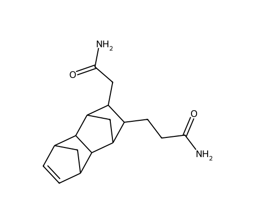 NC(=O)CCC1C(CC(N)=O)C2CC1C1C3C=CC(C3)C21